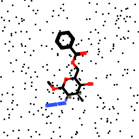 COC1OC(COC(=O)c2ccccc2)C(O)[C@H](C)[C@@H]1N=[N+]=[N-]